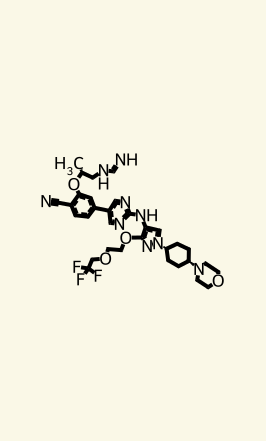 C[C@@H](CNC=N)Oc1cc(-c2cnc(Nc3cn([C@H]4CC[C@H](N5CCOCC5)CC4)nc3OCCOCC(F)(F)F)nc2)ccc1C#N